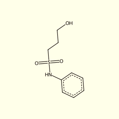 O=S(=O)(CCCO)Nc1ccccc1